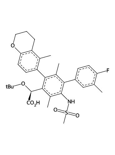 Cc1cc(-c2c(C)c(-c3ccc4c(c3C)CCCO4)c([C@H](OC(C)(C)C)C(=O)O)c(C)c2NS(C)(=O)=O)ccc1F